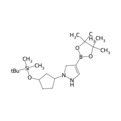 CC1(C)OB(C2=CNN(C3CCC(O[Si](C)(C)C(C)(C)C)C3)C2)OC1(C)C